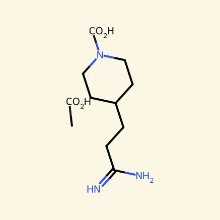 CC(=O)O.N=C(N)CCC1CCN(C(=O)O)CC1